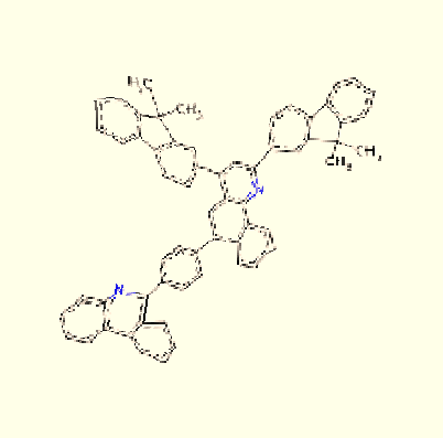 CC1(C)c2ccccc2-c2ccc(-c3cc(-c4ccc5c(c4)C(C)(C)c4ccccc4-5)c4cc(-c5ccc(-c6nc7ccccc7c7ccccc67)cc5)c5ccccc5c4n3)cc21